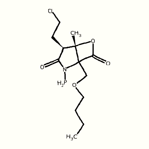 CCCCOCC12C(=O)O[C@@]1(C)[C@H](CCCl)C(=O)N2P